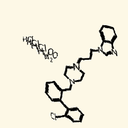 Cl.Cl.Cl.Clc1ccccc1-c1ccccc1CN1CCN(CCCn2cnc3ccccc32)CC1.O.O